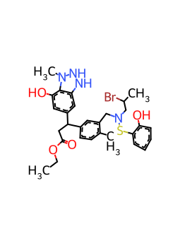 CCOC(=O)CC(c1ccc(C)c(CN(CC(C)Br)Sc2ccccc2O)c1)c1cc(O)c2c(c1)NNN2C